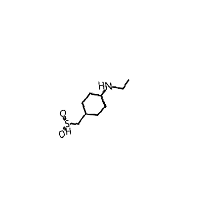 CCNC1CCC(C[SH](=O)=O)CC1